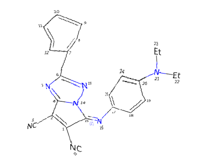 [C-]#[N+]C1=C(C#N)c2nc(-c3ccccc3)nn2/C1=N\c1ccc(N(CC)CC)cc1